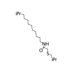 CC(C)CCCCCCCCCCNC(=O)CSCC(C)C